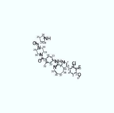 COc1ccc(C2=CN=C3/C(Nc4ccc(C(=O)N5CCN(C(=O)[C@@H]6CCNC6)CC5)c(C)c4)=N\C=C/CCC23)c(Cl)c1F